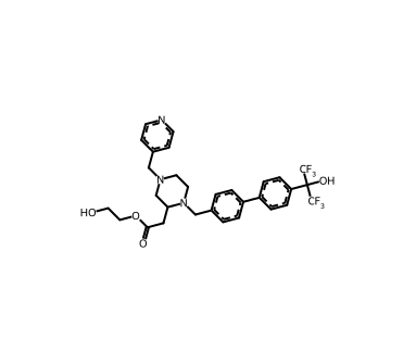 O=C(CC1CN(Cc2ccncc2)CCN1Cc1ccc(-c2ccc(C(O)(C(F)(F)F)C(F)(F)F)cc2)cc1)OCCO